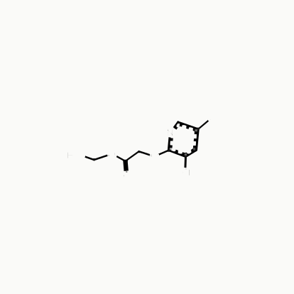 CCOC(=O)COc1ncc(C)cc1C